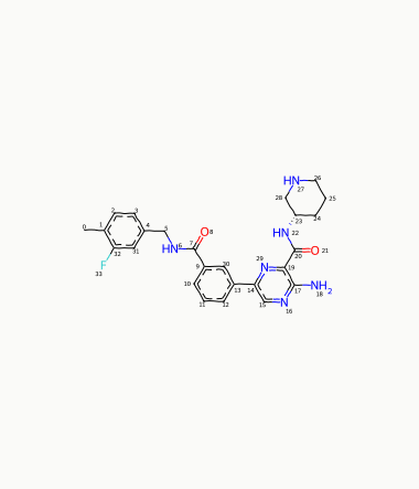 Cc1ccc(CNC(=O)c2cccc(-c3cnc(N)c(C(=O)N[C@H]4CCCNC4)n3)c2)cc1F